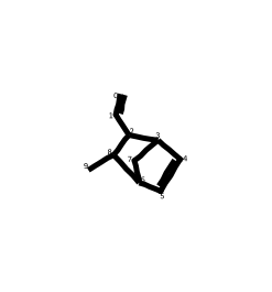 C=CC1C2C=CC(C2)C1C